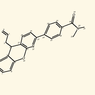 C=CCC1c2ccccc2Oc2nc(-c3ccc(C(=O)N(C)C)cc3)ccc21